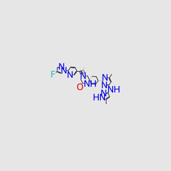 Cc1cc(Nc2cc(C)[nH]n2)nc([C@H]2CC[C@@]3(CC2)CN([C@@H](C)c2ccc(-n4cc(F)cn4)nc2)CC(=O)N3)n1